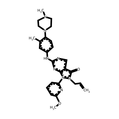 C=CCn1c(=O)c2cnc(Nc3ccc(N4CCN(C)CC4)c(C)c3)nc2n1-c1cccc(OC)n1